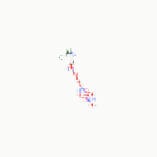 CCOCCNC(=O)C(O)C(O)C(=O)NCCOCCOCCOCCNS(=O)(=O)c1ccc([C@@H]2CN(C)Cc3c(Cl)cc(Cl)cc32)cc1